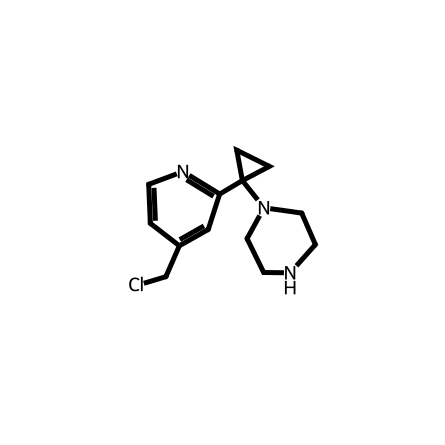 ClCc1ccnc(C2(N3CCNCC3)CC2)c1